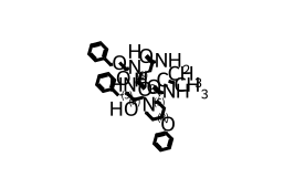 CC(C)(C)NC(=O)[C@@H]1C[C@H](Oc2ccccc2)CCN1C[C@@H](O)[C@H](Cc1ccccc1)NC(=O)[C@H](CC(N)=O)NC(=O)OCc1ccccc1